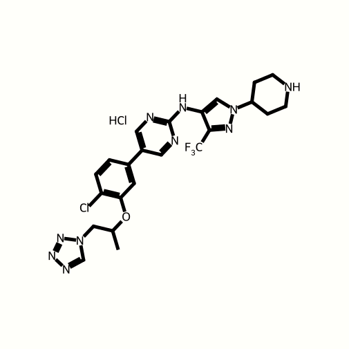 CC(Cn1cnnn1)Oc1cc(-c2cnc(Nc3cn(C4CCNCC4)nc3C(F)(F)F)nc2)ccc1Cl.Cl